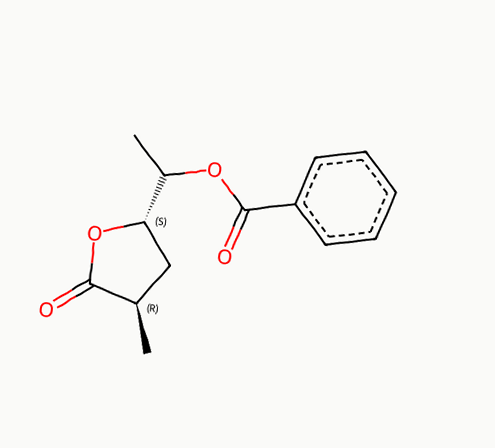 CC(OC(=O)c1ccccc1)[C@@H]1C[C@@H](C)C(=O)O1